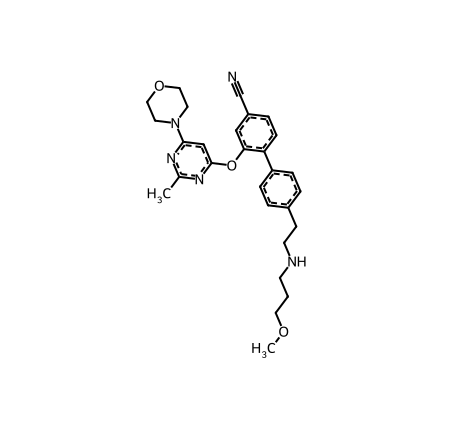 COCCCNCCc1ccc(-c2ccc(C#N)cc2Oc2cc(N3CCOCC3)nc(C)n2)cc1